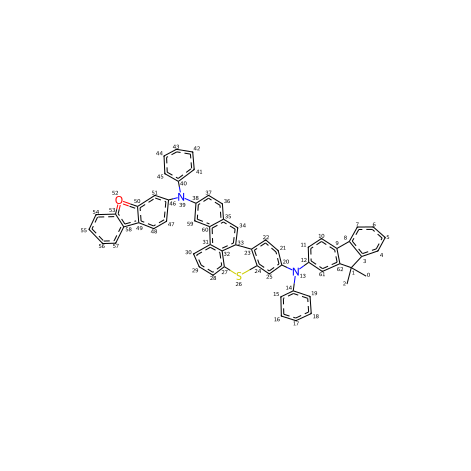 CC1(C)c2ccccc2-c2ccc(N(c3ccccc3)c3ccc4c(c3)Sc3cccc5c3c-4cc3ccc(N(c4ccccc4)c4ccc6c(c4)oc4ccccc46)cc35)cc21